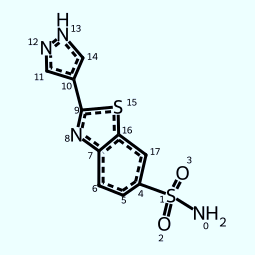 NS(=O)(=O)c1ccc2nc(-c3cn[nH]c3)sc2c1